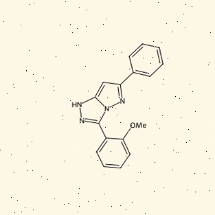 COc1ccccc1-c1n[nH]c2cc(-c3ccccc3)nn12